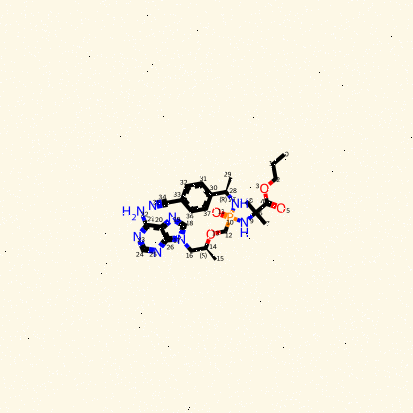 CCCOC(=O)C(C)(C)NP(=O)(CO[C@@H](C)Cn1cnc2c(N)ncnc21)N[C@H](C)c1ccc(C#N)cc1